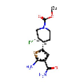 CC(C)(C)OC(=O)N1CC[C@H](c2cc(C(N)=O)c(N)s2)[C@H](F)C1